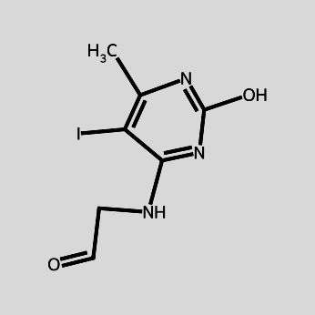 Cc1nc(O)nc(NCC=O)c1I